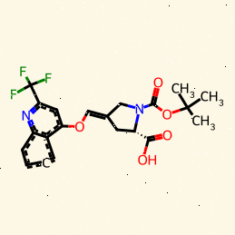 CC(C)(C)OC(=O)N1C/C(=C/Oc2cc(C(F)(F)F)nc3ccccc23)C[C@H]1C(=O)O